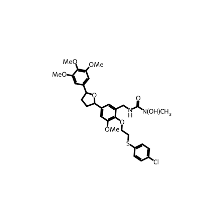 COc1cc(C2CCC(c3cc(OC)c(OC)c(OC)c3)O2)cc(CNC(=O)N(C)O)c1OCCSc1ccc(Cl)cc1